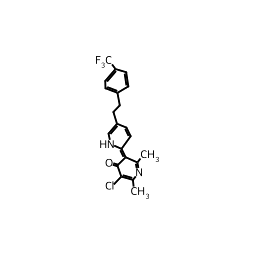 CC1=NC(C)=C(Cl)C(=O)C1=C1C=CC(CCc2ccc(C(F)(F)F)cc2)=CN1